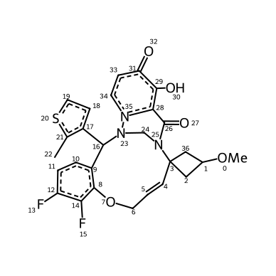 COC1CC2(/C=C/COc3c(ccc(F)c3F)C(c3ccsc3C)N3CN2C(=O)c2c(O)c(=O)ccn23)C1